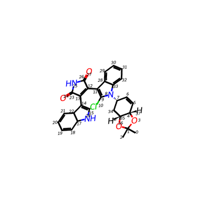 CC1(C)O[C@H]2C=C[C@@H](n3c(Cl)c(C4=C(C5=CNC6C=CC=CC56)C(=O)NC4=O)c4ccccc43)C[C@H]2O1